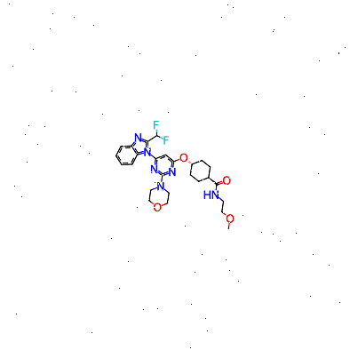 COCCNC(=O)[C@H]1CC[C@H](Oc2cc(-n3c(C(F)F)nc4ccccc43)nc(N3CCOCC3)n2)CC1